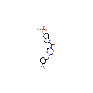 CS(=O)(=O)Oc1ccc2cc(C(=O)N3CCN(Cc4cccc([N+](=O)[O-])c4)CC3)ccc2c1